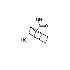 Cl.O=C(O)C12C3C4C5C3C1C5C42